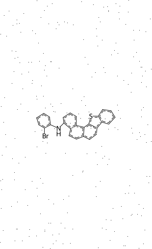 Brc1ccccc1Nc1cccc2c1ccc1ccc3c4ccccc4sc3c12